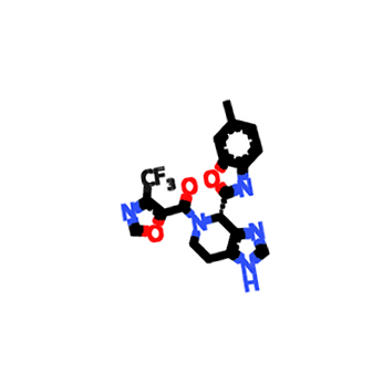 Cc1ccc2nc([C@@H]3c4nc[nH]c4CCN3C(=O)c3ocnc3C(F)(F)F)oc2c1